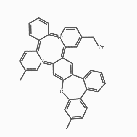 Cc1ccc2c(c1)oc1cc3c(cc1c1ccccc21)c1cc(CC(C)C)cc[n+]1c1ccccc1c1ccc(C)c[n+]13